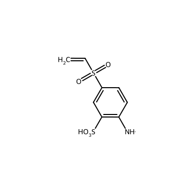 C=CS(=O)(=O)c1ccc([NH])c(S(=O)(=O)O)c1